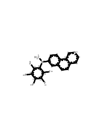 CN(c1ccc2c(ccc3ccncc32)c1)c1c(F)c(F)c(F)c(F)c1F